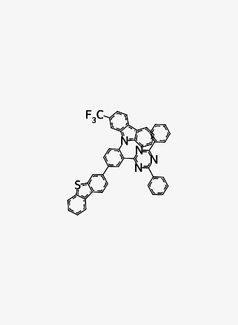 FC(F)(F)c1ccc2c3ccccc3n(-c3ccc(-c4ccc5c(c4)sc4ccccc45)cc3-c3nc(-c4ccccc4)nc(-c4ccccc4)n3)c2c1